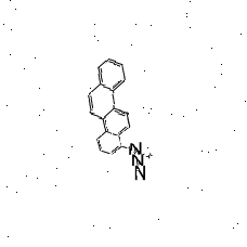 [N-]=[N+]=Nc1cccc2c1ccc1c3ccccc3ccc21